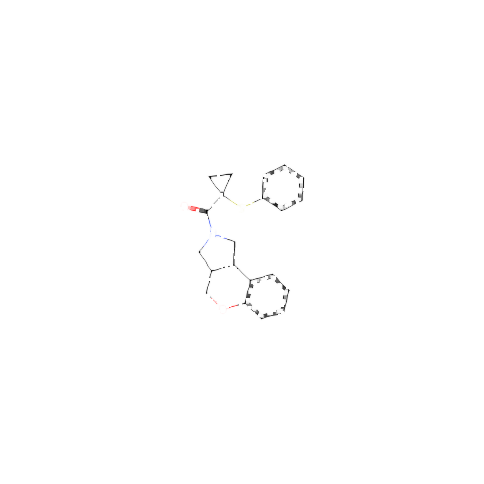 O=C(N1CC2COc3ccccc3C2C1)C1(Sc2ccccc2)CC1